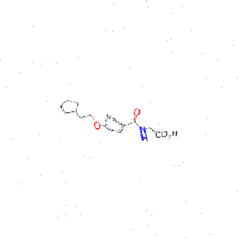 O=C(O)CNC(=O)c1ccc(OCCC2C=CCC2)cc1